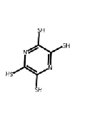 Sc1nc(S)c(S)nc1S